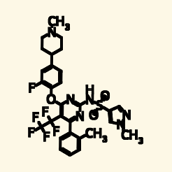 Cc1ccccc1-c1nc(NS(=O)(=O)c2cnn(C)c2)nc(Oc2ccc(C3CCN(C)CC3)cc2F)c1C(F)(F)C(F)(F)F